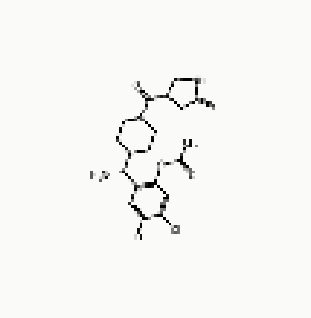 N[C@@H](c1cc(Cl)c(Cl)cc1OC(=O)C(F)(F)F)C1CCN(C(=O)[C@H]2CNC(=O)C2)CC1